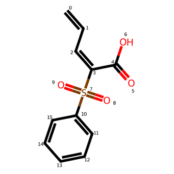 C=CC=C(C(=O)O)S(=O)(=O)c1ccccc1